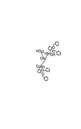 O=C(O)CCC(=O)N(CCCCNC(=O)c1cccc(OCc2ccccc2)c1OCc1ccccc1)CCCNC(O)c1cccc(OCc2ccccc2)c1OCc1ccccc1